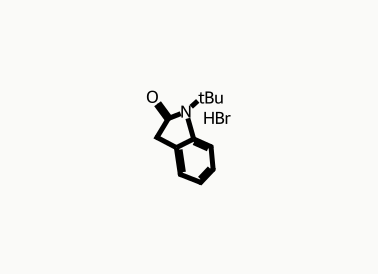 Br.CC(C)(C)N1C(=O)Cc2ccccc21